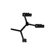 CCC(C)B(OC)OC